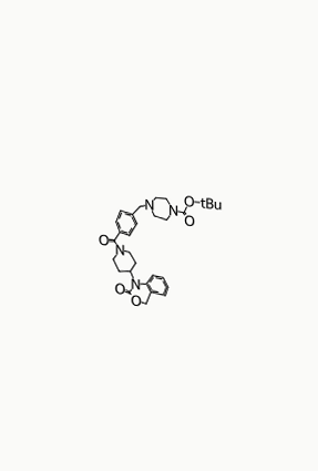 CC(C)(C)OC(=O)N1CCN(Cc2ccc(C(=O)N3CCC(N4C(=O)OCc5ccccc54)CC3)cc2)CC1